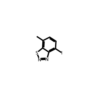 Cc1ccc(I)c2nnsc12